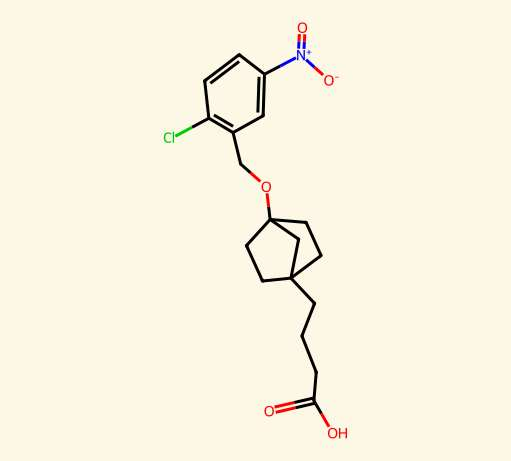 O=C(O)CCCC12CCC(OCc3cc([N+](=O)[O-])ccc3Cl)(CC1)C2